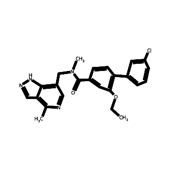 CCOc1cc(C(=O)N(C)Cc2cnc(C)c3cn[nH]c23)ccc1-c1cccc(Cl)c1